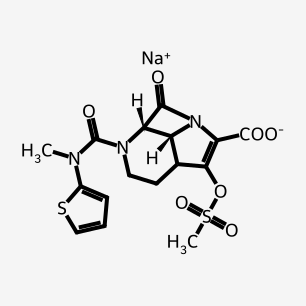 CN(C(=O)N1CCC2C(OS(C)(=O)=O)=C(C(=O)[O-])N3C(=O)[C@@H]1[C@@H]23)c1cccs1.[Na+]